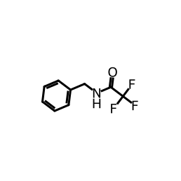 O=C(NCc1ccccc1)C(F)(F)F